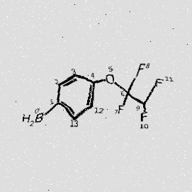 Bc1ccc(OC(F)(F)C(F)F)cc1